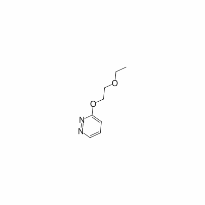 CCOCCOc1cccnn1